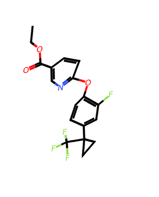 CCOC(=O)c1ccc(Oc2ccc(C3(C(F)(F)F)CC3)cc2F)nc1